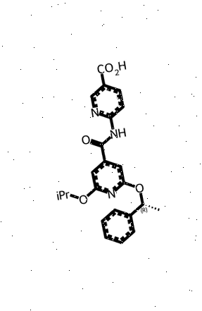 CC(C)Oc1cc(C(=O)Nc2ccc(C(=O)O)cn2)cc(O[C@H](C)c2ccccc2)n1